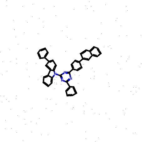 c1ccc(-c2ccc3c(c2)c2ccccc2n3-c2nc(-c3ccccc3)nc(-c3ccc(-c4ccc5ccccc5c4)cc3)n2)cc1